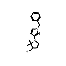 CC1(C)C(O)CCN1c1ccn(Cc2ccccc2)n1